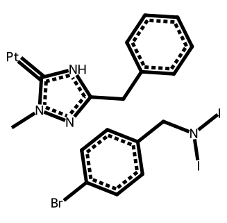 Brc1ccc(CN(I)I)cc1.Cn1nc(Cc2ccccc2)[nH][c]1=[Pt]